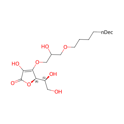 CCCCCCCCCCCCCCOCC(O)COC1=C(O)C(=O)O[C@@H]1[C@@H](O)CO